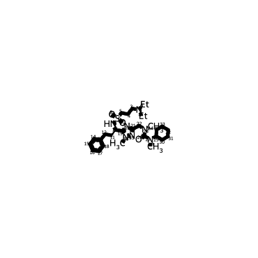 CCN(CC)CCCS(=O)(=O)N[C@H](CCc1ccccc1)c1nc(CN(C)C(=O)N(C)C2CCCCC2)nn1C